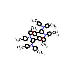 Cc1ccc(N(c2ccc(C)cc2)c2cc(-c3ccccc3-c3ccccc3-c3cc(N(c4ccc(C)cc4)c4ccc(C)cc4)cc(N(c4ccc(C)cc4)c4ccc(C)cc4)c3)cc(N(c3ccc(C)cc3)c3ccc(C)cc3)c2)cc1